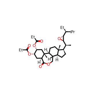 CCC(=O)O[C@H]1C[C@@H]2C(=O)OC[C@@H]3[C@H](CC[C@]4(C)[C@@H]([C@H](C)[C@H]5O[C@@H]5[C@@H](CC)C(C)C)CC[C@@H]34)[C@@]2(C)C[C@H]1OC(=O)CC